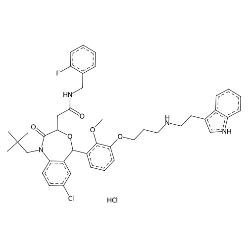 COc1c(OCCCNCCc2c[nH]c3ccccc23)cccc1C1OC(CC(=O)NCc2ccccc2F)C(=O)N(CC(C)(C)C)c2ccc(Cl)cc21.Cl